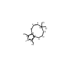 Cc1sc(I)c2c1CCCC(C)(C)CCC2